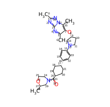 Cc1nc2nc(C)c(O[C@@H]3CCN(c4ccc([C@H]5CC[C@H](C(=O)N6CCO[C@H](C)C6)CC5)cc4)C3)c(C)n2n1